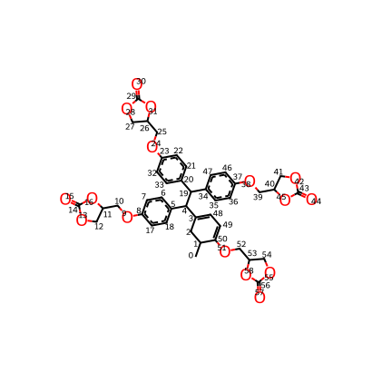 CC1CC(C(c2ccc(OCC3COC(=O)O3)cc2)C(c2ccc(OCC3COC(=O)O3)cc2)c2ccc(OCC3COC(=O)O3)cc2)=CC=C1OCC1COC(=O)O1